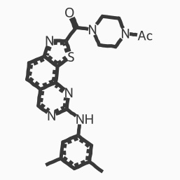 CC(=O)N1CCN(C(=O)c2nc3ccc4cnc(Nc5cc(C)cc(C)c5)nc4c3s2)CC1